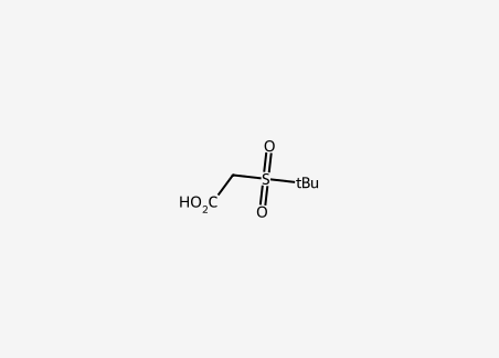 CC(C)(C)S(=O)(=O)CC(=O)O